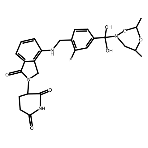 CC1CN(C(O)(O)c2ccc(CNc3cccc4c3CN(C3CCC(=O)NC3=O)C4=O)c(F)c2)CC(C)O1